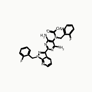 COC(=O)N(Cc1ccccc1F)c1c(N)nc(-c2nn(Cc3ccccc3F)c3ncccc23)nc1N